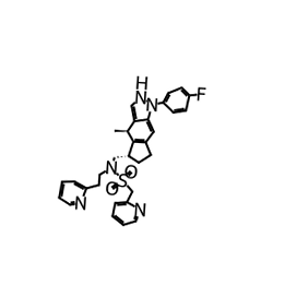 C[C@H]1C2=CNN(c3ccc(F)cc3)C2=CC2=C1[C@@H](CN(CCc1ccccn1)S(=O)(=O)Cc1ccccn1)CC2